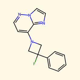 FC1(c2ccccc2)CN(c2ccnn3ccnc23)C1